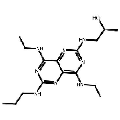 CCCNc1nc(NCC)c2nc(NC[C@H](C)O)nc(NCC)c2n1